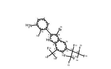 Nc1cccc(-c2[nH]c3c(C(F)(F)F)cc(C(F)(C(F)(F)F)C(F)(F)F)cc3c2Br)c1F